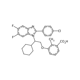 Cc1c(OCC(C2CCCCC2)n2c(-c3ccc(Cl)cc3)nc3cc(F)c(F)cc32)cccc1C(=O)O